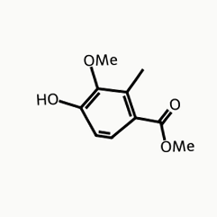 COC(=O)c1ccc(O)c(OC)c1C